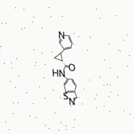 O=C(Nc1ccc2cnsc2c1)[C@@H]1CC1c1cccnc1